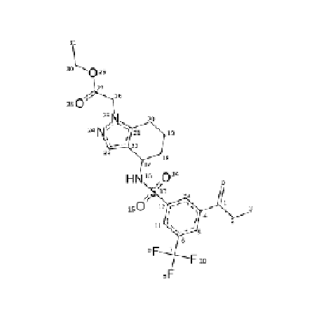 C=C(CC)c1cc(C(F)(F)F)cc(S(=O)(=O)NC2CCCc3c2cnn3CC(=O)OCC)c1